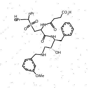 CCCC(CCC)S(=O)(=O)CC(NC(=O)CCC(=O)O)C(=O)N[C@@H](Cc1ccccc1)[C@H](O)CNCc1cccc(OC)c1.Cl